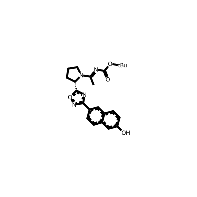 C/C(=N\C(=O)OC(C)(C)C)N1CCC[C@H]1c1nc(-c2ccc3cc(O)ccc3c2)no1